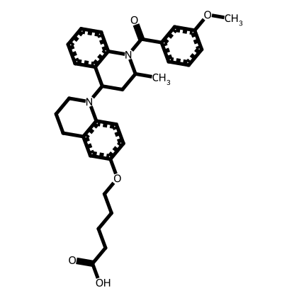 COc1cccc(C(=O)N2c3ccccc3C(N3CCCc4cc(OCCCCC(=O)O)ccc43)CC2C)c1